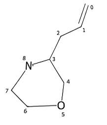 C=CCC1COCC[N]1